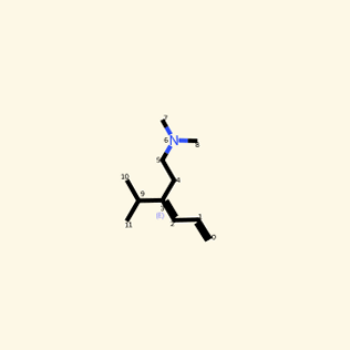 C=C/C=C(\CCN(C)C)C(C)C